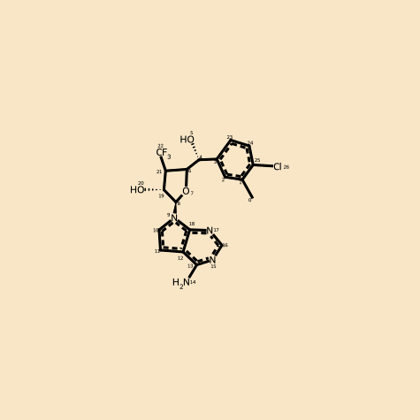 Cc1cc([C@@H](O)C2O[C@@H](n3ccc4c(N)ncnc43)[C@H](O)C2C(F)(F)F)ccc1Cl